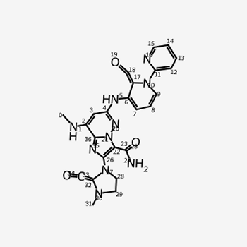 CNc1cc(NC2=CC=CN(c3ccccn3)C2=C=O)nn2c(C(N)=O)c(N3CCN(C)C3=C=O)nc12